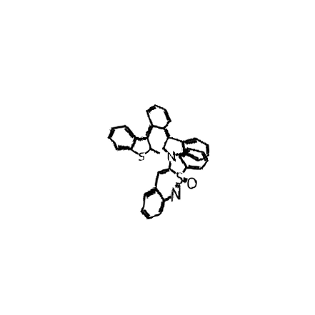 CC1Sc2ccccc2/C1=c1\cccc\c1=C1\CN(C2=Cc3ccccc3N=S2(=O)c2ccccc2)c2ccccc21